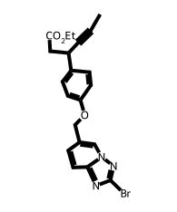 CC#CC(CC(=O)OCC)c1ccc(OCc2ccc3nc(Br)nn3c2)cc1